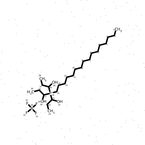 CCCCCCCCCCCCCCCC[P+](C(O)CC)(C(O)CC)C(O)CC.F[B-](F)(F)F